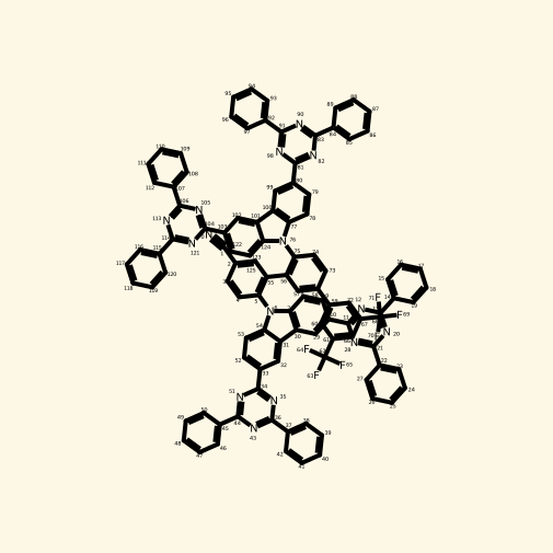 N#Cc1ccc(-n2c3ccc(-c4nc(-c5ccccc5)nc(-c5ccccc5)n4)cc3c3cc(-c4nc(-c5ccccc5)nc(-c5ccccc5)n4)ccc32)c(-c2cc(-c3cc(C(F)(F)F)cc(C(F)(F)F)c3)ccc2-n2c3ccc(-c4nc(-c5ccccc5)nc(-c5ccccc5)n4)cc3c3cc(-c4nc(-c5ccccc5)nc(-c5ccccc5)n4)ccc32)c1